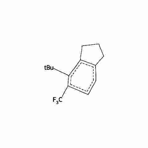 CC(C)(C)c1c(C(F)(F)F)ccc2c1CCC2